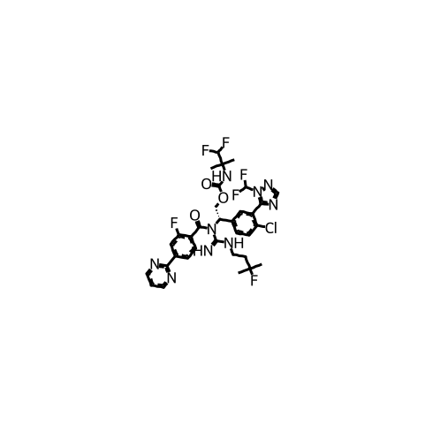 CC(C)(F)CCNC(=N)N(C(=O)c1ccc(-c2ncccn2)cc1F)[C@H](COC(=O)NC(C)(C)C(F)F)c1ccc(Cl)c(-c2ncnn2C(F)F)c1